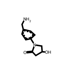 NCc1ccc(N2CC(O)CC2=O)cc1